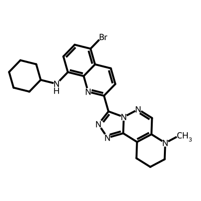 CN1CCCc2c1cnn1c(-c3ccc4c(Br)ccc(NC5CCCCC5)c4n3)nnc21